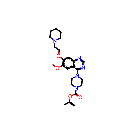 C=C(C)OC(=O)N1CCN(c2ncnc3cc(OCCN4CCCCC4)c(OC)cc23)CC1